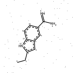 CCc1cc2cc(C(=N)N)ccc2[nH]1